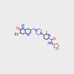 CCc1cc2ncc(CN3CCN(c4ccc(C(=O)NC5CCOC5)nc4C)CC3)cc2[nH]c1=O